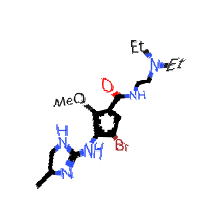 CCN(CC)CCNC(=O)c1cc(Br)c(NC2=NC(C)CN2)cc1OC